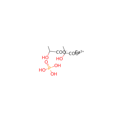 CC(O)C(=O)[O-].CC(O)C(=O)[O-].O=P(O)(O)O.[Ca+2]